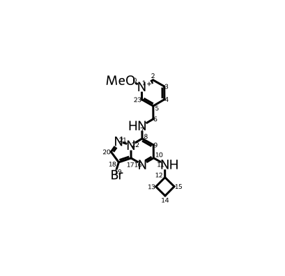 CO[n+]1cccc(CNc2cc(NC3CCC3)nc3c(Br)cnn23)c1